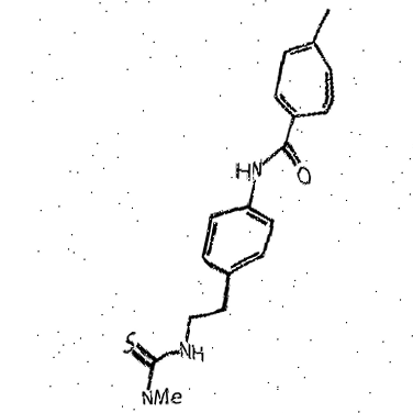 CNC(=S)NCCc1ccc(NC(=O)c2ccc(C)cc2)cc1